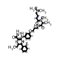 CCc1nc(C(N)=O)c(Nc2cccc(OCCCNC(=O)[C@H](C)N(C)C(=O)/C=C/CN(C)C)c2)nc1-c1ccccc1F